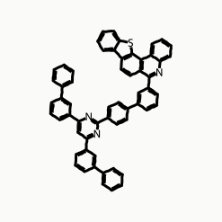 c1ccc(-c2cccc(-c3cc(-c4cccc(-c5ccccc5)c4)nc(-c4ccc(-c5cccc(-c6nc7ccccc7c7c6ccc6c8ccccc8sc67)c5)cc4)n3)c2)cc1